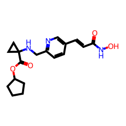 O=C(C=Cc1ccc(CNC2(C(=O)OC3CCCC3)CC2)nc1)NO